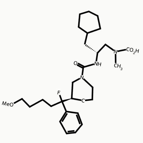 COCCCCC(F)(c1ccccc1)[C@@H]1CCCN(C(=O)N[C@H](CC2CCCCC2)CN(C)C(=O)O)C1